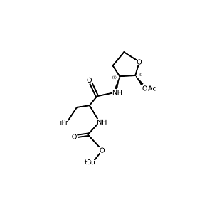 CC(=O)O[C@@H]1OCC[C@@H]1NC(=O)C(CC(C)C)NC(=O)OC(C)(C)C